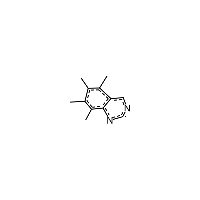 Cc1c(C)c(C)c2n[c]ncc2c1C